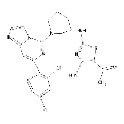 CC(=O)c1sc(NC2CCCN(c3nc(-c4ccc(Cl)cc4Cl)cc4nccn34)C2)nc1N